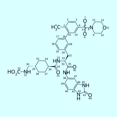 Cc1ccc(S(=O)(=O)N2CCOCC2)cc1-c1cccc(C[C@H](NC(=O)[C@H]2CC[C@H](CNC(=O)O)CC2)C(=O)Nc2ccc3[nH]c(=O)[nH]c3c2)c1